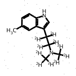 [2H]C([2H])([2H])N(C([2H])([2H])[2H])C([2H])([2H])C([2H])([2H])c1c[nH]c2ccc(C)cc12